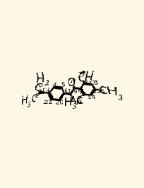 C=C(C)c1ccc(C(C(C)=O)C(=O)c2c(C)cc(C)cc2C)cc1